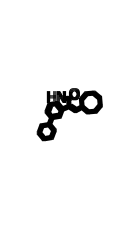 O=C1Nc2ccc(C3CCCCC3)cc2/C1=C/C1CCCCCCC1